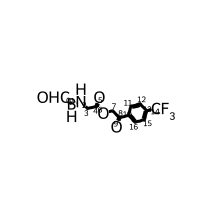 O=CBNCC(=O)OCC(=O)c1ccc(C(F)(F)F)cc1